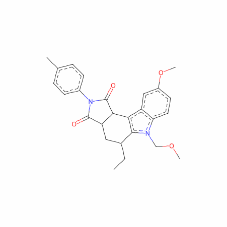 CCC1CC2C(=O)N(c3ccc(C)cc3)C(=O)C2c2c1n(COC)c1ccc(OC)cc21